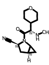 CN[C@H](C(=O)N1C2C[C@H]2C[C@H]1C#N)C1CCOCC1